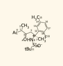 CC(=O)C(C)C(=O)C[C@](C)(N[S+]([O-])C(C)(C)C)c1cc(C)ccc1F